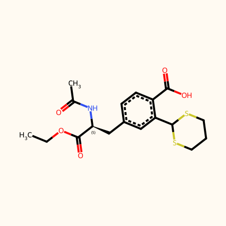 CCOC(=O)[C@H](Cc1ccc(C(=O)O)c(C2SCCCS2)c1)NC(C)=O